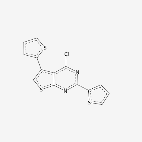 Clc1nc(-c2cccs2)nc2scc(-c3cccs3)c12